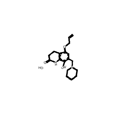 C=CCOc1cc(CN2CCCCC2)c(O)c2c1CCC(=O)N2.Cl